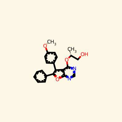 COc1ccc(-c2c(-c3ccccc3)oc3ncnc(O[C@H](C)CO)c23)cc1